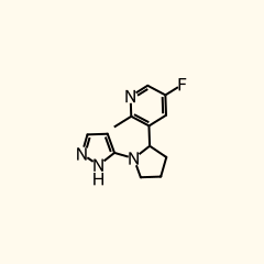 Cc1ncc(F)cc1C1CCCN1c1ccn[nH]1